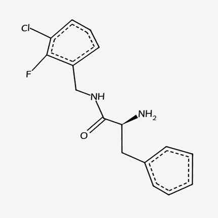 N[C@@H](Cc1ccccc1)C(=O)NCc1cccc(Cl)c1F